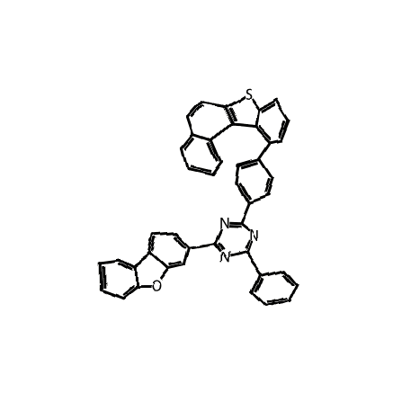 c1ccc(-c2nc(-c3ccc(-c4cccc5sc6ccc7ccccc7c6c45)cc3)nc(-c3ccc4c(c3)oc3ccccc34)n2)cc1